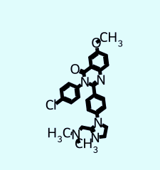 COc1ccc2nc(-c3ccc(N4CCN=C4CN(C)C)cc3)n(-c3ccc(Cl)cc3)c(=O)c2c1